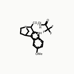 CCOC(=O)C1c2[nH]c3ccc(OC)cc3c2C2CCN1C2.O=C(O)C(F)(F)F